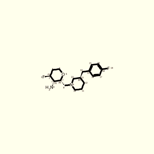 N[C@@H]1[C@@H](F)CCO[C@@H]1CN1CCC[C@H](Cc2ccc(F)cc2)C1